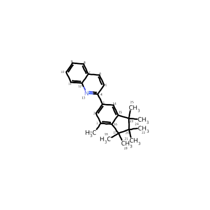 Cc1cc(-c2ccc3ccccc3n2)cc2c1C(C)(C)C(C)(C)C2(C)C